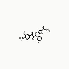 CCc1cc(NC(=O)C(=O)N2C[C@H](C)CC[C@H]2c2ccc(C(N)=O)s2)cnc1N